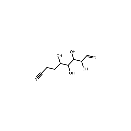 N#CCCC(O)C(O)C(O)C(O)C=O